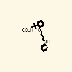 CC(C)(CC(=O)O)c1ccccc1OCCCCNc1ccccn1